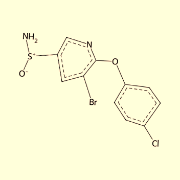 N[S+]([O-])c1cnc(Oc2ccc(Cl)cc2)c(Br)c1